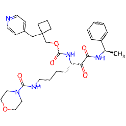 C[C@@H](NC(=O)C(=O)[C@H](CCCCNC(=O)N1CCOCC1)NC(=O)OCC1(Cc2ccncc2)CCC1)c1ccccc1